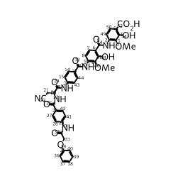 COc1c(NC(=O)c2ccc(NC(=O)c3ccc(NC(=O)[C@H](CC#N)NC(=O)c4ccc(NC(=O)COc5ccccc5)cc4)cc3)c(OC)c2O)ccc(C(=O)O)c1O